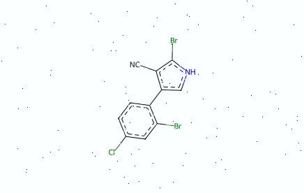 N#Cc1c(-c2ccc(Cl)cc2Br)c[nH]c1Br